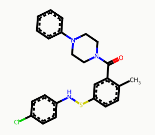 Cc1ccc(SNc2ccc(Cl)cc2)cc1C(=O)N1CCN(c2ccccc2)CC1